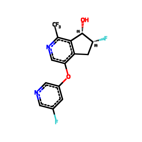 O[C@H]1c2c(C(F)(F)F)ncc(Oc3cncc(F)c3)c2C[C@H]1F